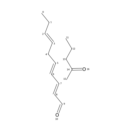 CCC=CCC=CC=CC=O.CCCC(C)=O